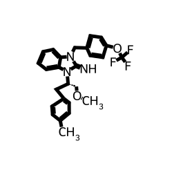 COC[C@H](Cc1ccc(C)cc1)n1c(=N)n(Cc2ccc(OC(F)(F)F)cc2)c2ccccc21